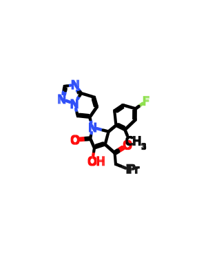 Cc1cc(F)ccc1C1C(C(=O)CC(C)C)=C(O)C(=O)N1c1ccc2ncnn2c1